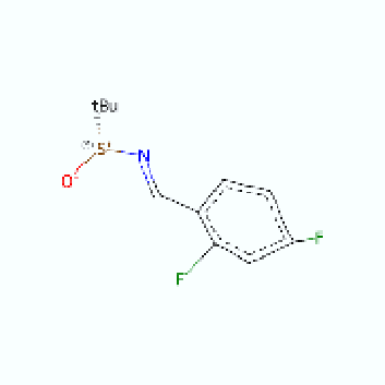 CC(C)(C)[S@@+]([O-])N=Cc1ccc(F)cc1F